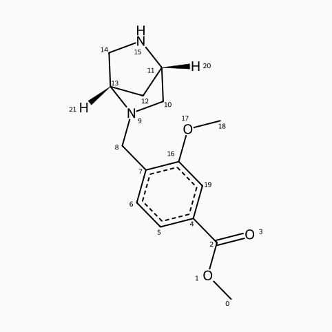 COC(=O)c1ccc(CN2C[C@@H]3C[C@H]2CN3)c(OC)c1